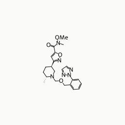 CON(C)C(=O)c1cc([C@@H]2CC[C@@H](C)N(COCc3ccccc3-n3nccn3)C2)no1